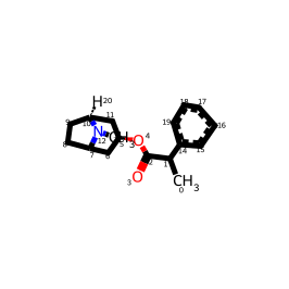 CC(C(=O)O[C@H]1CC2CC[C@@H](C1)N2C)c1ccccc1